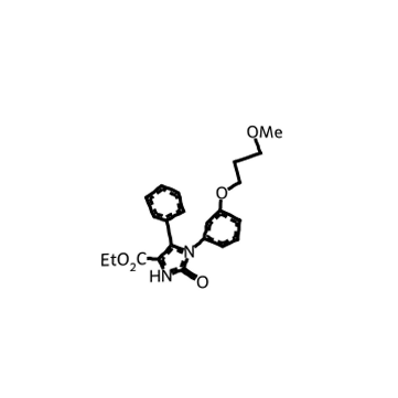 CCOC(=O)c1[nH]c(=O)n(-c2cccc(OCCCOC)c2)c1-c1ccccc1